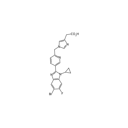 O=C(O)Cc1cn(Cc2ccc(-c3nc4cc(Br)c(F)cc4n3C3CC3)cn2)cn1